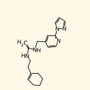 C=C(NCCC1=CCCCC1)NCc1ccnc(-n2cccn2)c1